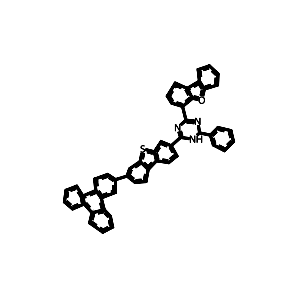 c1ccc(C2N=C(c3cccc4c3oc3ccccc34)N=C(c3ccc4c(c3)sc3cc(-c5ccc6c7ccccc7c7ccccc7c6c5)ccc34)N2)cc1